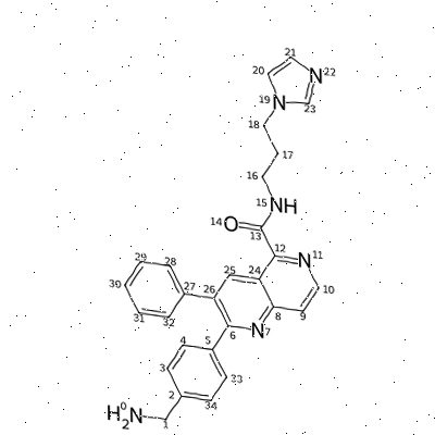 NCc1ccc(-c2nc3ccnc(C(=O)NCCCn4ccnc4)c3cc2-c2ccccc2)cc1